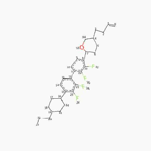 C=CCCC1CCC(c2ccc(-c3ccc(C4CCC(CCC)CC4)c(F)c3F)c(F)c2F)OC1